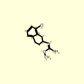 CO/C(N)=N\C1CCc2cccc(Cl)c2C1